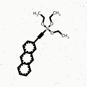 CCO[Si](C#Cc1ccc2cc3ccccc3cc2c1)(OCC)OCC